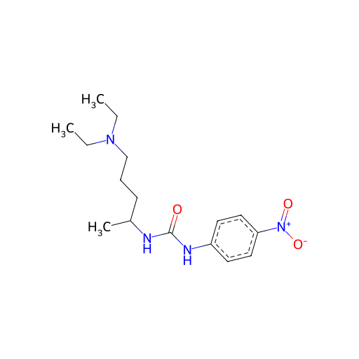 CCN(CC)CCCC(C)NC(=O)Nc1ccc([N+](=O)[O-])cc1